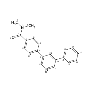 CN(C)C(=O)c1ccc(-c2cncc(-c3ccncc3)c2)nc1